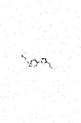 C=CCON1C(=O)N2CC(n3ccc(CCN)n3)=CC1C2